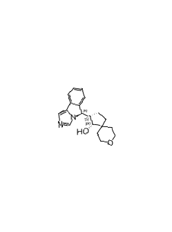 O[C@@H]1[C@H]([C@@H]2c3ccccc3-c3cncn32)CCC12CCOCC2